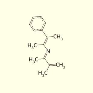 C=C(C)/C(C)=N/C(C)=C(\C)c1ccccc1